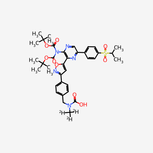 [2H]C([2H])([2H])N(Cc1ccc(-c2cc(-c3nc(-c4ccc(S(=O)(=O)C(C)C)cc4)cnc3N(C(=O)OC(C)(C)C)C(=O)OC(C)(C)C)on2)cc1)C(=O)O